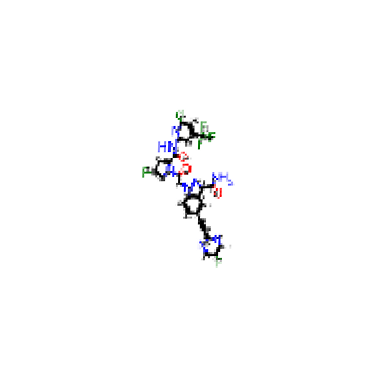 NC(=O)c1nn(CC(=O)N2C[C@H](F)C[C@H]2C(=O)Nc2cc(C(F)(F)F)cc(Cl)n2)c2ccc(C#Cc3ncc(F)cn3)cc12